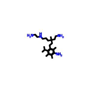 Cc1c(C)c(C(C)C)c(CCC(C)(CCN)CCCNCCN)c(C)c1N